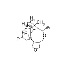 CC(C)C1OCC2COCC2N(CC(F)F)C2C(C(C)(C)C)C1C(C)(C)C2(C)C